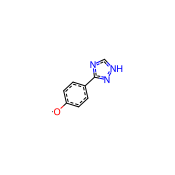 [O]c1ccc(-c2nc[nH]n2)cc1